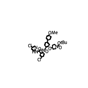 COc1ccc(-c2ccc(C(=O)Nc3ccc(Cl)cc3C(=O)Nc3ccc(Cl)cn3)c(OC3CCN(C(=O)OC(C)(C)C)CC3)c2)cc1